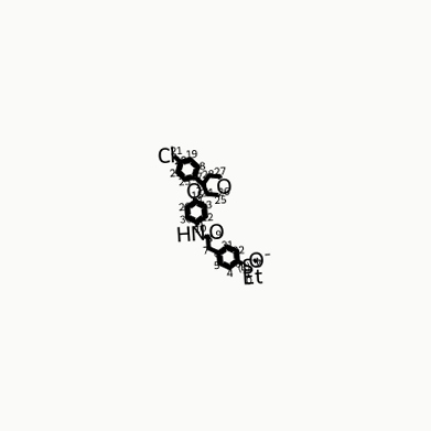 CC[S@+]([O-])c1ccc(CC(=O)Nc2ccc(OC3(c4ccc(Cl)cc4)CCOCC3)cc2)cc1